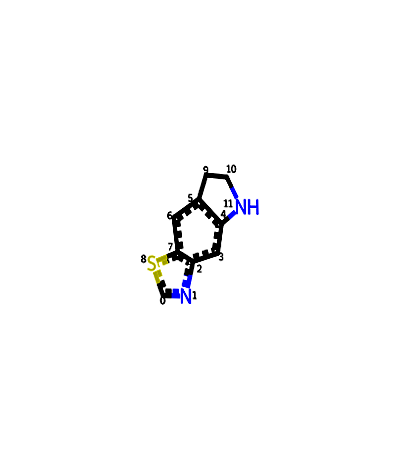 c1nc2cc3c(cc2s1)CCN3